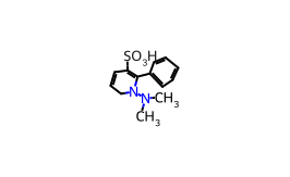 CN(C)N1CC=CC(S(=O)(=O)O)=C1c1ccccc1